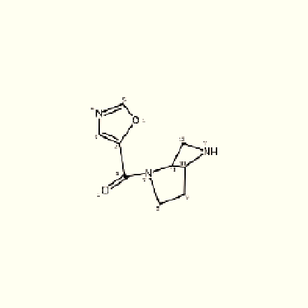 O=C(c1cnco1)N1CCC2NCC21